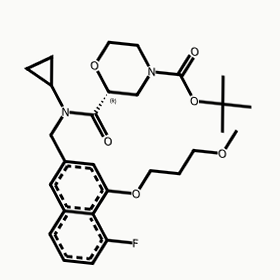 COCCCOc1cc(CN(C(=O)[C@H]2CN(C(=O)OC(C)(C)C)CCO2)C2CC2)cc2cccc(F)c12